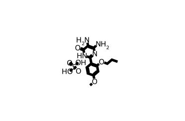 CCCOc1cc(OC)ccc1-c1nc(N)c(N)c(=O)[nH]1.O=S(=O)(O)O